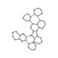 c1ccc(-c2nc3ccccc3nc2-n2c3ccccc3c3c4cccc5c4c(cc32)-c2ccccc2-c2ccccc2-5)cc1